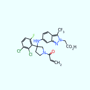 C=CC(=O)N1CCC(Nc2ccc3c(C(F)(F)F)n(CC(=O)O)nc3c2)(c2c(F)ccc(Cl)c2Cl)C1